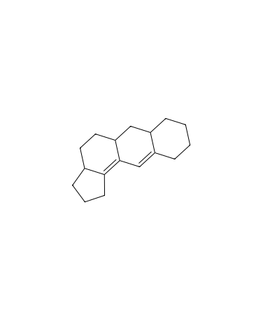 C1=C2CCCCC2CC2CCC3CCCC3=C12